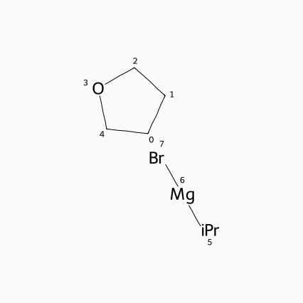 C1CCOC1.C[CH](C)[Mg][Br]